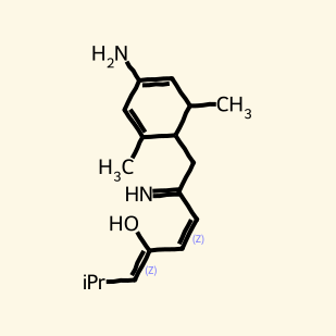 CC1=CC(N)=CC(C)C1CC(=N)/C=C\C(O)=C\C(C)C